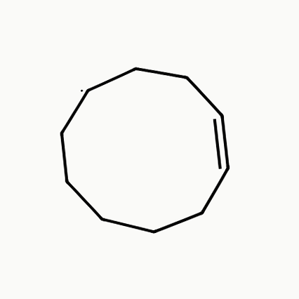 [CH]1CCC=CCCCCC1